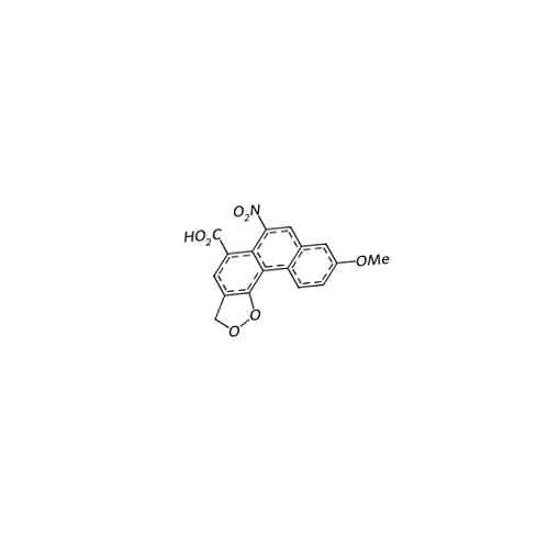 COc1ccc2c(c1)cc([N+](=O)[O-])c1c(C(=O)O)cc3c(c12)OOC3